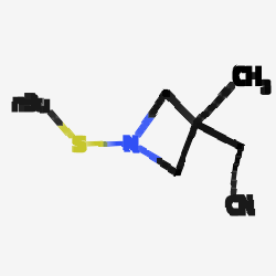 CCCCSN1CC(C)(CC#N)C1